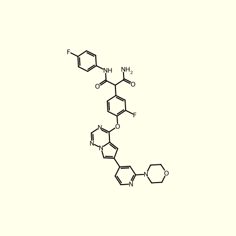 NC(=O)C(C(=O)Nc1ccc(F)cc1)c1ccc(Oc2ncnn3cc(-c4ccnc(N5CCOCC5)c4)cc23)c(F)c1